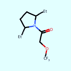 CCC1CCC(CC)N1C(=O)COC(F)(F)F